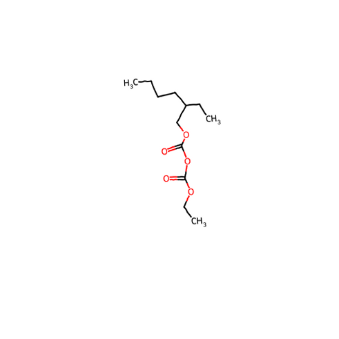 CCCCC(CC)COC(=O)OC(=O)OCC